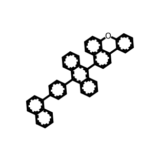 c1ccc2c(c1)Oc1cccc3c(-c4c5ccccc5c(-c5ccc(-c6cccc7ccccc67)cc5)c5ccccc45)ccc-2c13